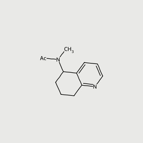 CC(=O)N(C)C1CCCc2ncccc21